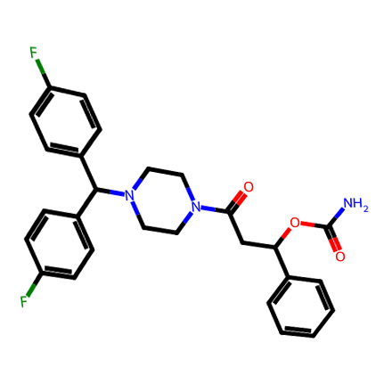 NC(=O)OC(CC(=O)N1CCN(C(c2ccc(F)cc2)c2ccc(F)cc2)CC1)c1ccccc1